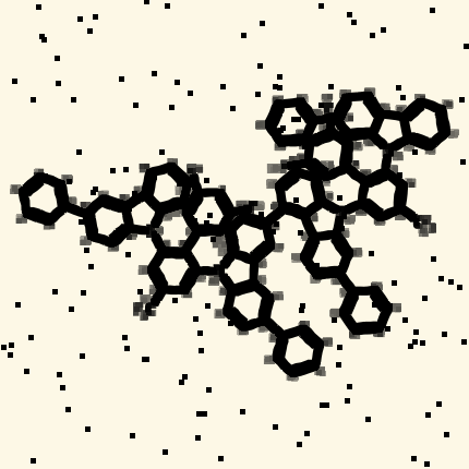 Fc1cc(F)cc(-c2c(-n3c4ccccc4c4cc(-c5ccccc5)ccc43)cc(C(F)(F)F)cc2-n2c3ccc(-c4ccccc4)cc3c3cc(-c4cccc5c4c4ccc(-c6ccccc6)cc4n5-c4cc(C(F)(F)F)cc(-n5c6ccccc6c6ccc(-c7ccccc7)cc65)c4-c4cc(F)cc(F)c4)ccc32)c1